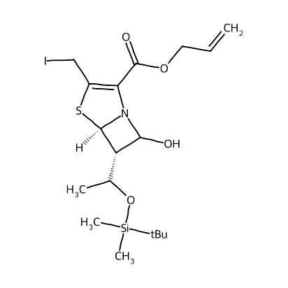 C=CCOC(=O)C1=C(CI)S[C@@H]2[C@@H](C(C)O[Si](C)(C)C(C)(C)C)C(O)N12